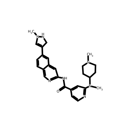 CN1CCC(N(C)c2cc(C(=O)Nc3cc4cc(C5=CN(C)NC5)ccc4cn3)ccn2)CC1